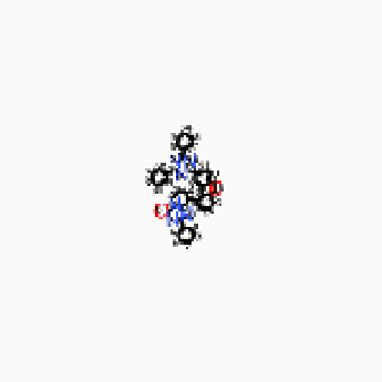 O=c1nc(-c2ccccc2)nc2c(-c3cccc4oc5ccc(-c6nc(-c7ccccc7)nc(-c7ccccc7)n6)cc5c34)cccn12